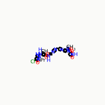 Cc1cc(S(=O)(=O)N[C@H]2C[C@H](N3CCN(CC4CCN(c5ccc6c(c5)n(C)c(=O)n6C5CCC(=O)NC5=O)CC4)CC3)C2)ccc1Nc1ncc2cc(Cl)c(=O)n(C(C)C)c2n1